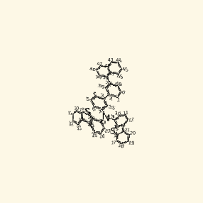 c1cc(-c2cccc(N(c3cccc4c3sc3ccccc34)c3cccc4c3sc3ccccc34)c2)cc(-c2cccc3ccccc23)c1